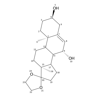 C[C@]12CC[C@@H](O)CC1=C[C@H](O)C1C2CC[C@@]2(C)C1CCC21OCCO1